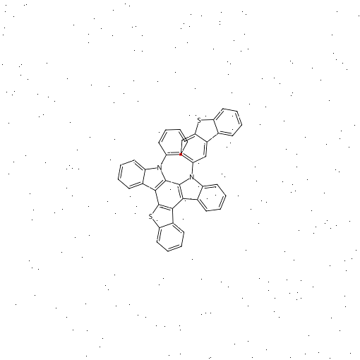 c1ccc(-n2c3ccccc3c3c4sc5ccccc5c4c4c5ccccc5n(-c5ccc6sc7ccccc7c6c5)c4c32)cc1